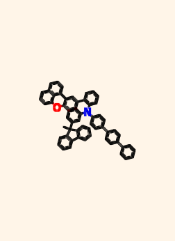 CC1(c2cccc(N(c3ccc(-c4ccc(-c5ccccc5)cc4)cc3)c3ccccc3-c3ccc4c(c3)-c3cccc5cccc(c35)O4)c2)c2ccccc2-c2ccccc21